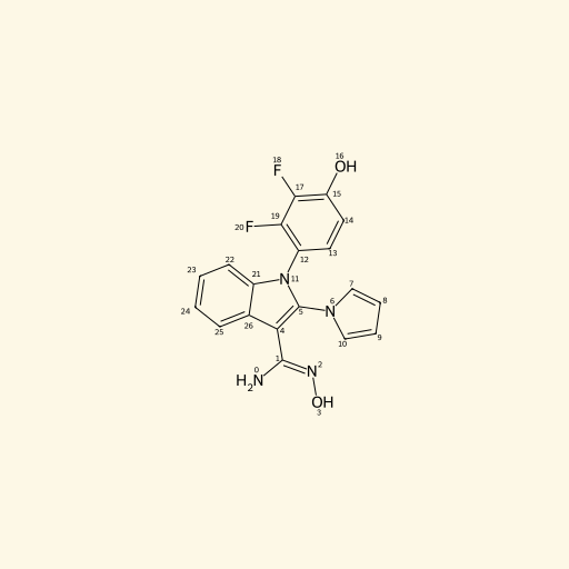 N/C(=N\O)c1c(-n2cccc2)n(-c2ccc(O)c(F)c2F)c2ccccc12